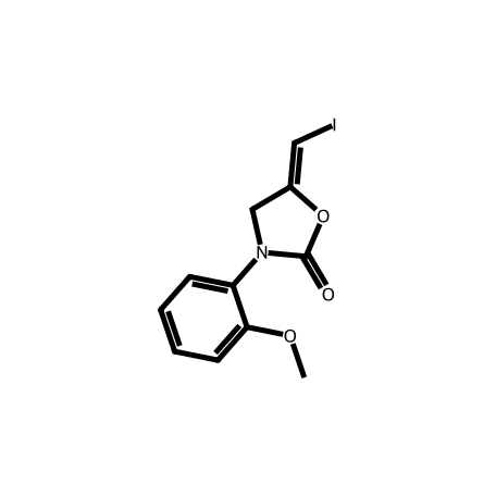 COc1ccccc1N1C/C(=C/I)OC1=O